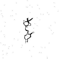 CC1(C)OC[C@H](CCN2CCNCC2=O)O1